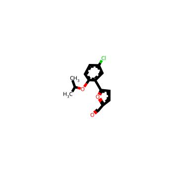 CC(C)Oc1ccc(Cl)cc1-c1ccc(C=O)o1